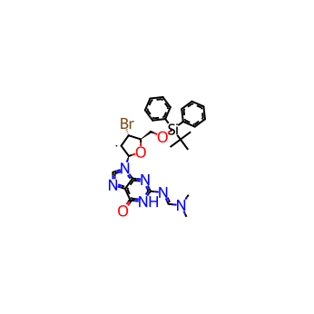 CN(C)/C=N/c1nc2c(ncn2[C@H]2[CH][C@H](Br)[C@@H](CO[Si](c3ccccc3)(c3ccccc3)C(C)(C)C)O2)c(=O)[nH]1